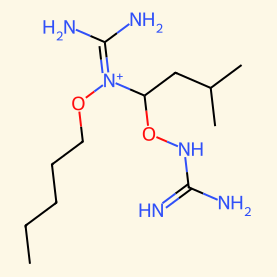 CCCCCO[N+](=C(N)N)C(CC(C)C)ONC(=N)N